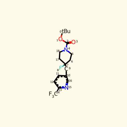 CC(C)(C)OC(=O)N1CCC(F)(Cc2ccc(C(F)(F)F)nc2)CC1